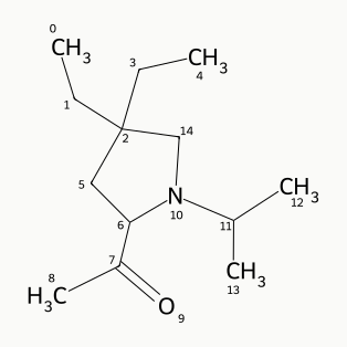 CCC1(CC)CC(C(C)=O)N(C(C)C)C1